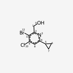 OCc1nc(C2CC2)cc(Cl)c1Br